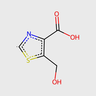 O=C(O)c1n[c]sc1CO